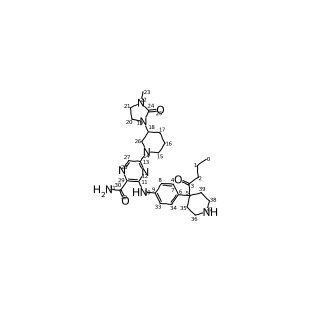 CCCC(=O)C1(c2ccc(Nc3nc(N4CCCC(N5CCN(C)C5=O)C4)cnc3C(N)=O)cc2)CCNCC1